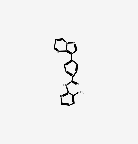 Cc1cccnc1NC(=O)c1ccc(-c2cnn3cccnc23)cc1